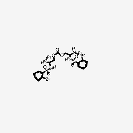 CC(C)NC(COC(=O)OCC(NC(C)C)NS(=O)(=O)c1ccccc1Br)NS(=O)(=O)c1ccccc1Br